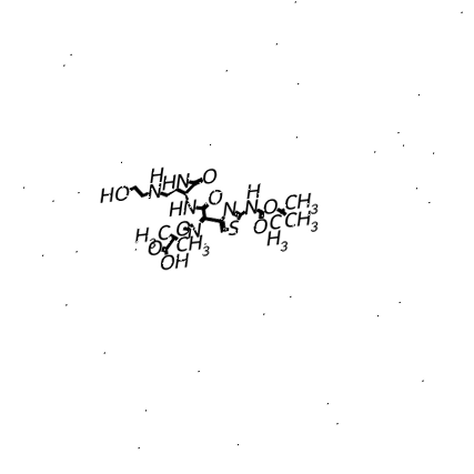 CC(C)(C)OC(=O)Nc1nc(/C(=N/OC(C)(C)C(=O)O)C(=O)N[C@@H]2C(=O)N[C@@H]2CNCCO)cs1